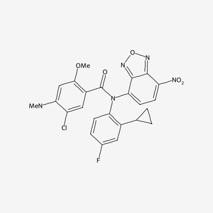 CNc1cc(OC)c(C(=O)N(c2ccc(F)cc2C2CC2)c2ccc([N+](=O)[O-])c3nonc23)cc1Cl